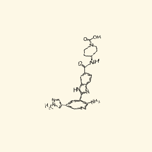 Cn1cc(-c2cnc(N)c(-c3nc4ccc(C(=O)NC5CCN(C(=O)O)CC5)cc4[nH]3)c2)cn1